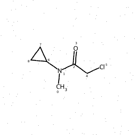 CN(C(=O)CCl)C1CC1